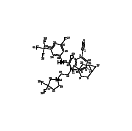 N#Cc1cccc([C@]23CC[C@@H](N(CCN4CCC(F)(F)C4)C(=O)Nc4cc(F)cc(C(F)(F)F)c4)CC2C3)c1